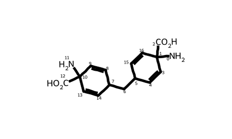 NC1(C(=O)O)C=CC(CC2C=CC(N)(C(=O)O)C=C2)C=C1